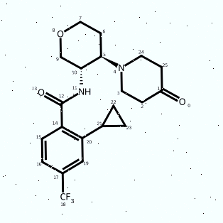 O=C1CCN([C@@H]2CCOC[C@H]2NC(=O)c2ccc(C(F)(F)F)cc2C2CC2)CC1